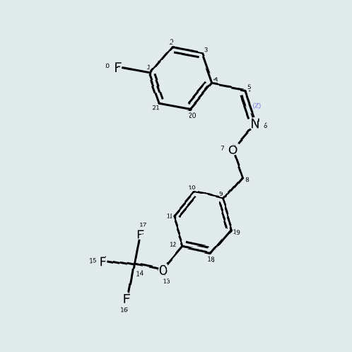 Fc1ccc(/[C]=N\OCc2ccc(OC(F)(F)F)cc2)cc1